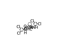 O=CN(Nc1cc(Cl)cc(Cl)c1)[C@@H]1CCCC[C@@H]1NC(=O)Nc1cc(Cl)cc(Cl)c1